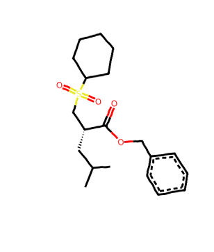 CC(C)C[C@H](CS(=O)(=O)C1CCCCC1)C(=O)OCc1ccccc1